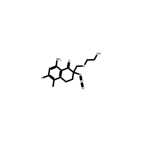 Cc1c(F)cc(N)c2c1CCC(COCCO)(N=[N+]=[N-])C2=O